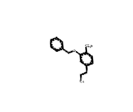 O=C(O)c1ccc(CCO)cc1OCc1ccccc1